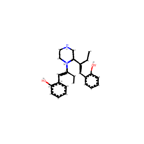 CCC(=Cc1ccccc1O)C1CNCCN1C(=Cc1ccccc1O)CC